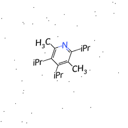 Cc1nc(C(C)C)c(C)c(C(C)C)c1C(C)C